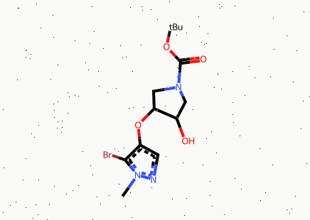 Cn1ncc(OC2CN(C(=O)OC(C)(C)C)CC2O)c1Br